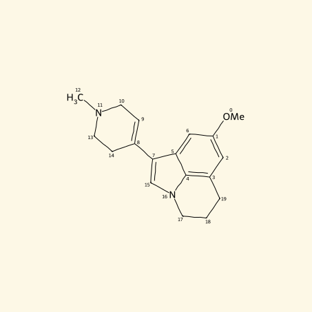 COc1cc2c3c(c1)c(C1=CCN(C)CC1)cn3CCC2